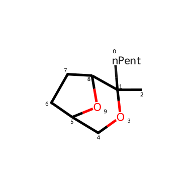 CCCCCC1(C)OCC2CCC1O2